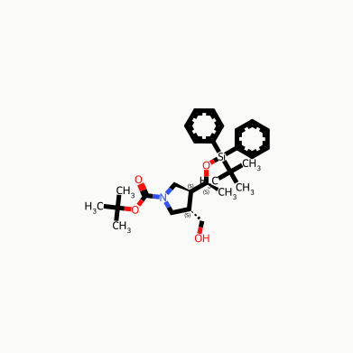 C[C@H](O[Si](c1ccccc1)(c1ccccc1)C(C)(C)C)[C@@H]1CN(C(=O)OC(C)(C)C)C[C@H]1CO